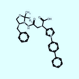 CC1(C)OC[C@H](Cc2ccccc2)N1NC(=O)C[C@@H](C(=O)O)c1ccn(-c2ccc(-c3ccccc3)cc2)c1